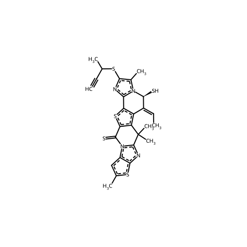 C#CC(C)Sc1nc2n(c1C)[C@@H](S)/C(=C/C)c1c-2sc2c1C(C)(C)c1nc3sc(C)cc3n1C2=S